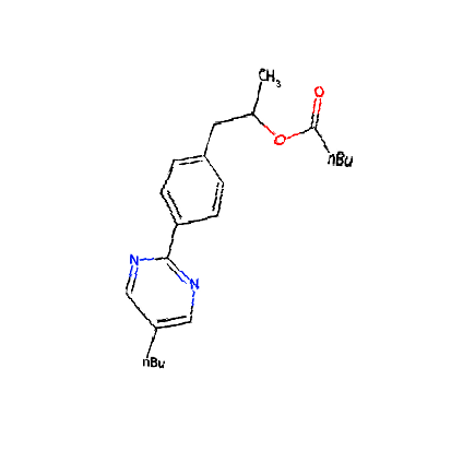 CCCCC(=O)OC(C)Cc1ccc(-c2ncc(CCCC)cn2)cc1